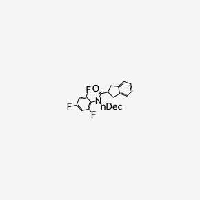 CCCCCCCCCCN(C(=O)C1Cc2ccccc2C1)c1c(F)cc(F)cc1F